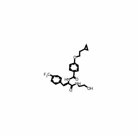 O=C(NCCO)/C(=C/c1ccc(C(F)(F)F)cc1)NC(=O)c1ccc(OCCC2CC2)cc1